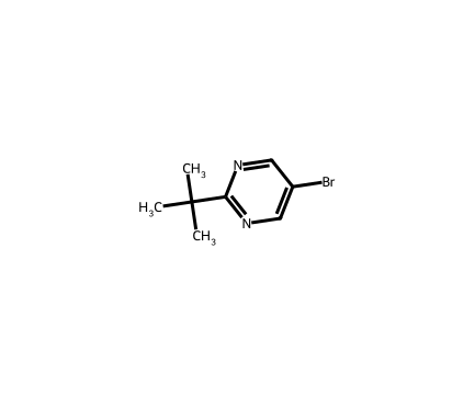 CC(C)(C)c1ncc(Br)cn1